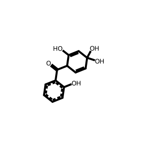 O=C(c1ccccc1O)C1C=CC(O)(O)C=C1O